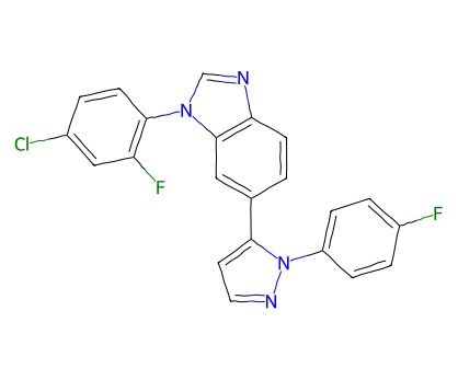 Fc1ccc(-n2nccc2-c2ccc3ncn(-c4ccc(Cl)cc4F)c3c2)cc1